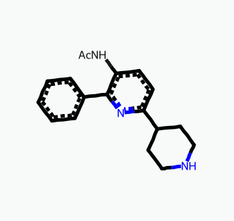 CC(=O)Nc1ccc(C2CCNCC2)nc1-c1ccccc1